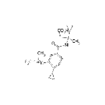 C[C@H](Oc1cc(C(=O)NC(C)(CC(=O)O)C2CC2)ncc1C1CC1)C(F)(F)F